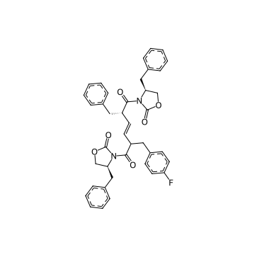 O=C1OC[C@H](Cc2ccccc2)N1C(=O)C(C=C[C@H](Cc1ccccc1)C(=O)N1C(=O)OC[C@@H]1Cc1ccccc1)Cc1ccc(F)cc1